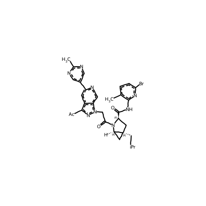 CC(=O)c1nn(CC(=O)N2[C@@H](C(=O)Nc3nc(Br)ccc3C)C[C@@]3(CC(C)C)C[C@@H]23)c2cnc(-c3cnc(C)nc3)cc12